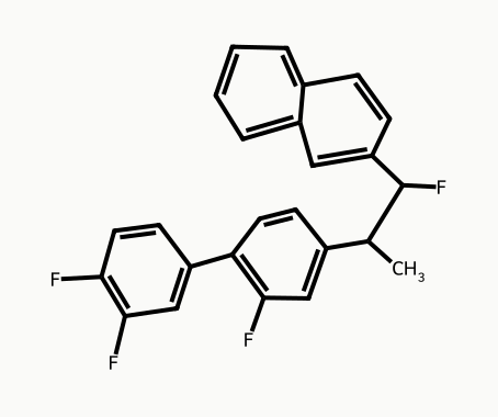 CC(c1ccc(-c2ccc(F)c(F)c2)c(F)c1)C(F)c1ccc2ccccc2c1